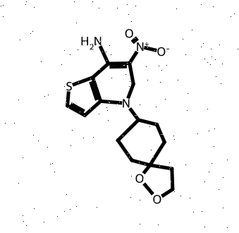 NC1=C([N+](=O)[O-])CN(C2CCC3(CCOO3)CC2)c2ccsc21